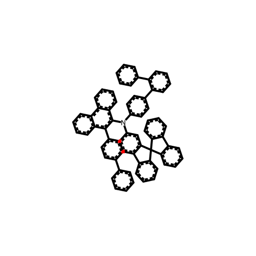 c1ccc(-c2ccc(-c3c(N(c4ccc(-c5ccccc5-c5ccccc5)cc4)c4ccc5c(c4)C4(c6ccccc6-c6ccccc64)c4ccccc4-5)c4ccccc4c4ccccc34)cc2)cc1